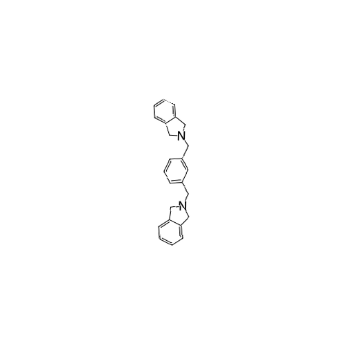 c1cc(CN2Cc3ccccc3C2)cc(CN2Cc3ccccc3C2)c1